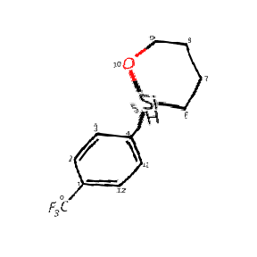 FC(F)(F)c1ccc([SiH]2CCCCO2)cc1